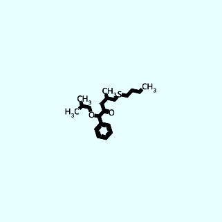 CCCCSCC(C)[CH]C(=O)C(OCC(C)C)c1ccccc1